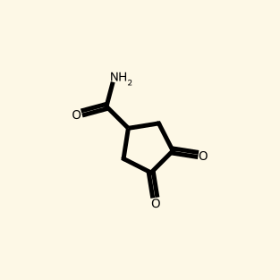 NC(=O)C1CC(=O)C(=O)C1